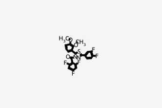 COc1cccc(C2SC(c3ccc(F)c(F)c3)=NN2C(=O)c2c(F)cc(F)cc2F)c1OC